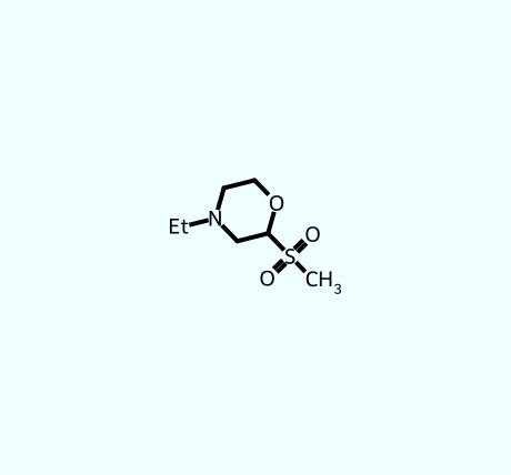 CCN1CCOC(S(C)(=O)=O)C1